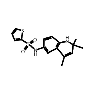 CC1=CC(C)(C)Nc2ccc(NS(=O)(=O)c3cccs3)cc21